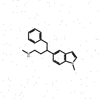 CNCCC(Cc1ccccc1)c1ccc2c(ccn2C)c1